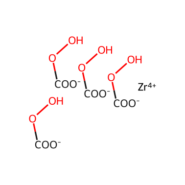 O=C([O-])OO.O=C([O-])OO.O=C([O-])OO.O=C([O-])OO.[Zr+4]